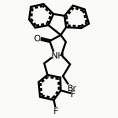 O=C(NCc1ccc(F)c(F)c1)C1(CCCCBr)c2ccccc2-c2ccccc21